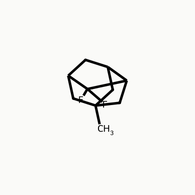 CC12CC3CC(C1)C(F)(F)C3C2